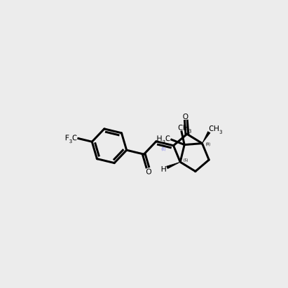 CC1(C)[C@@H]2CC[C@@]1(C)C(=O)/C2=C/C(=O)c1ccc(C(F)(F)F)cc1